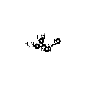 Cl.NCc1ccc(-c2nc3ccnc(OCCCC4=CC=CC=[N+]4)c3cc2-c2ccccc2)cc1.[Cl-]